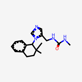 CNC(=O)NCc1cncn1C1c2ccccc2CCC1(C)C